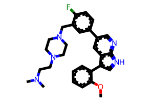 COc1ccccc1-c1c[nH]c2ncc(-c3ccc(F)c(CN4CCN(CCN(C)C)CC4)c3)cc12